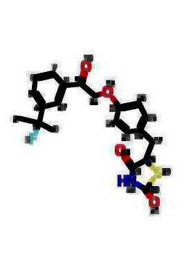 CC(C)(F)c1cccc(C(=O)COc2ccc(CC3SC(=O)NC3=O)cc2)c1